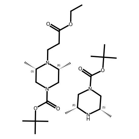 CCOC(=O)CCN1[C@H](C)CN(C(=O)OC(C)(C)C)C[C@@H]1C.C[C@@H]1CN(C(=O)OC(C)(C)C)C[C@H](C)N1